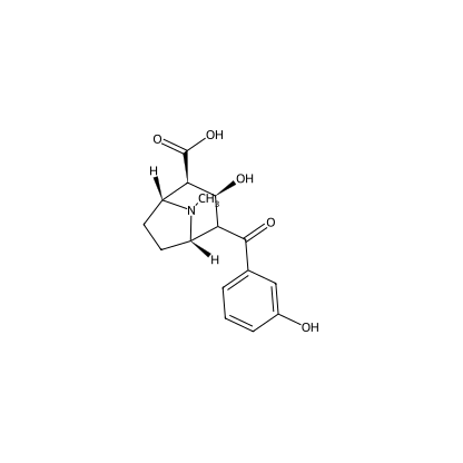 CN1[C@@H]2CC[C@H]1C(C(=O)c1cccc(O)c1)[C@H](O)[C@@H]2C(=O)O